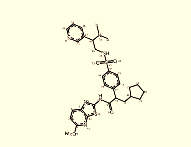 COc1ccc2nc(NC(=O)C(CC3CCCC3)c3ccc(S(=O)(=O)NCC(c4cccnc4)N(C)C)cc3)sc2n1